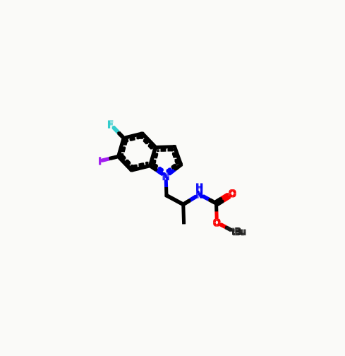 CC(Cn1ccc2cc(F)c(I)cc21)NC(=O)OC(C)(C)C